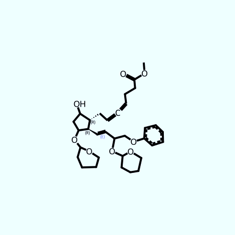 COC(=O)CCC=C=CC[C@H]1C(O)CC(OC2CCCCO2)[C@@H]1/C=C/C(COc1ccccc1)OC1CCCCO1